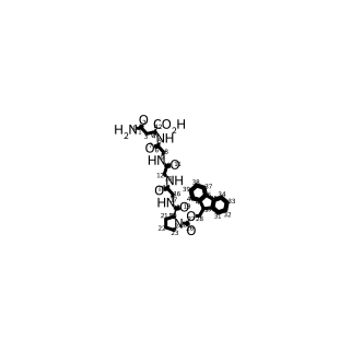 NC(=O)C[C@H](NC(=O)CNC(=O)CNC(=O)CNC(=O)[C@@H]1CCCN1C(=O)OCC1c2ccccc2-c2ccccc21)C(=O)O